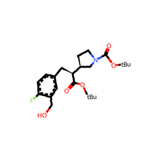 CC(C)(C)OC(=O)[C@@H](Cc1ccc(F)c(CO)c1)[C@H]1CCN(C(=O)OC(C)(C)C)C1